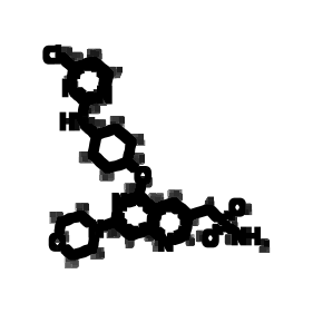 NS(=O)(=O)Cc1cnc2cc(N3CCOCC3)nc(OC3CCC(Nc4nccc(Cl)n4)CC3)c2c1